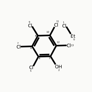 CCCl.Oc1c(Cl)c(Cl)c(Cl)c(Cl)c1Cl